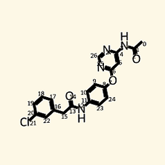 CC(=O)Nc1cc(Oc2ccc(NC(=O)Cc3cccc(Cl)c3)cc2)ncn1